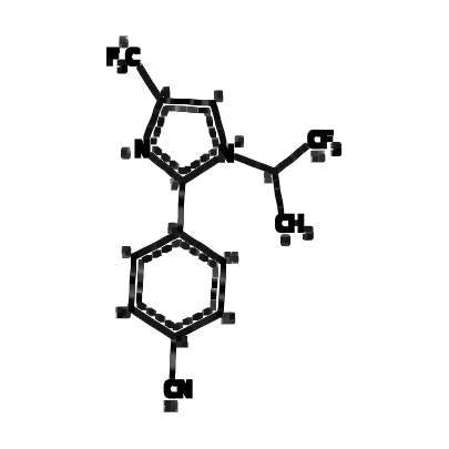 CC(n1cc(C(F)(F)F)nc1-c1ccc(C#N)cc1)C(F)(F)F